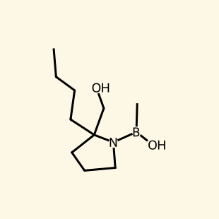 CCCCC1(CO)CCCN1B(C)O